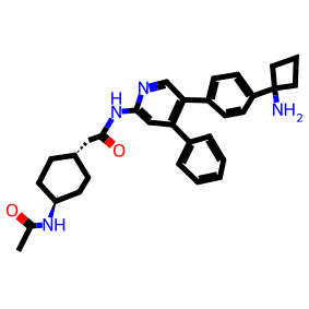 CC(=O)N[C@H]1CC[C@H](CC(=O)Nc2cc(-c3ccccc3)c(-c3ccc(C4(N)CCC4)cc3)cn2)CC1